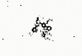 CCCCc1nc(-c2ccc(C)nn2)cn1Cc1ccc(-c2ccccc2S(=O)(=O)Nc2noc(C)c2C)c(CCC)c1